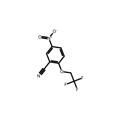 N#Cc1cc([N+](=O)[O-])ccc1OCC(F)(F)F